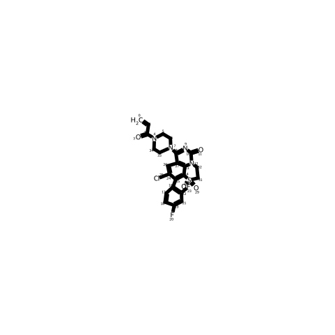 C=CC(=O)N1CCN(c2nc(=O)n3c4c(c(-c5ccc(F)cc5F)c(Cl)cc24)S(=O)(=O)CC3)CC1